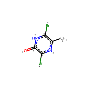 Cc1nc(Br)c(=O)[nH]c1Br